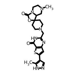 Cc1[nH]ncc1-c1cc2nc(CN3CCC4(CC3)OC(=O)N3CCN(C)CC34)[nH]c(=O)c2s1